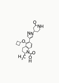 C[C@H]1CCc2c(ccc(-c3cnn(C4CCNC(=O)C4)c3)c2OC2CCC2)N1C(=O)O